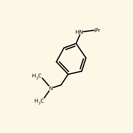 CC(C)Nc1ccc(CN(C)C)cc1